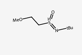 COCC[SH](=O)=NC(C)(C)C